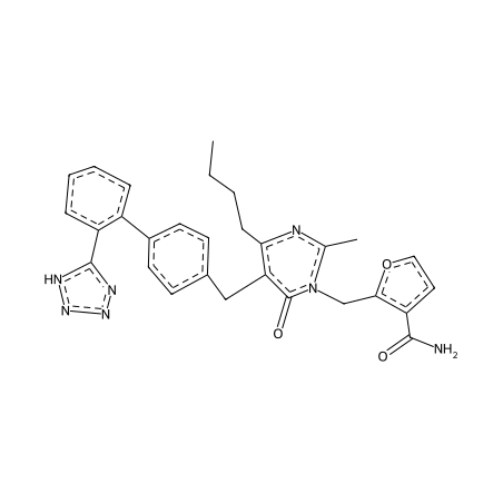 CCCCc1nc(C)n(Cc2occc2C(N)=O)c(=O)c1Cc1ccc(-c2ccccc2-c2nnn[nH]2)cc1